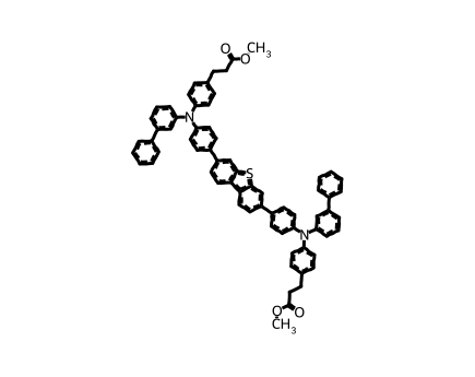 COC(=O)CCc1ccc(N(c2ccc(-c3ccc4c(c3)sc3cc(-c5ccc(N(c6ccc(CCC(=O)OC)cc6)c6cccc(-c7ccccc7)c6)cc5)ccc34)cc2)c2cccc(-c3ccccc3)c2)cc1